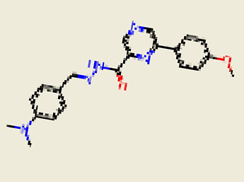 COc1ccc(-c2cncc(C(=O)NN=Cc3ccc(N(C)C)cc3)n2)cc1